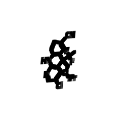 CC(C)OCC1(C(C)(F)F)c2cc(C#N)ccc2Nc2ncc(Cl)cc21